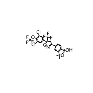 CC1(C)OB(O)c2ccc(C3=NOC(c4cc(Cl)c(OC(F)(F)F)c(Cl)c4)(C(F)(F)F)C3)cc21